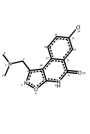 CN(C)Cc1noc2[nH]c(=O)c3cc(Cl)ccc3c12